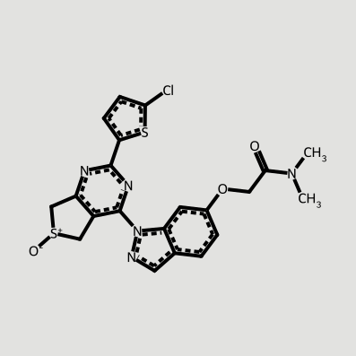 CN(C)C(=O)COc1ccc2cnn(-c3nc(-c4ccc(Cl)s4)nc4c3C[S+]([O-])C4)c2c1